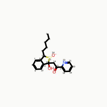 CCCCCC1c2ccccc2C(O)(CC(=O)c2ccccn2)[S+]1[O-]